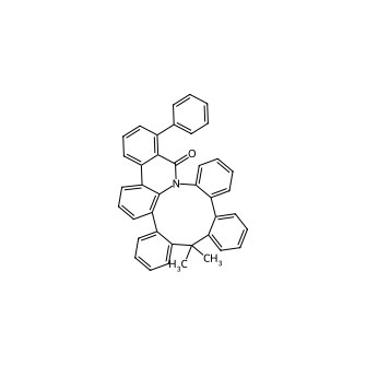 CC1(C)c2ccccc2-c2ccccc2-n2c(=O)c3c(-c4ccccc4)cccc3c3cccc(c32)-c2ccccc21